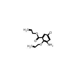 C=CCOC(=O)c1cc(Cl)cc(N)c1OCC=C